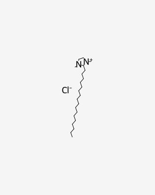 CCCCCCCCCCCCCCCCCC1=[N+](C)CCN1C.[Cl-]